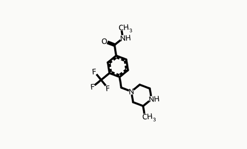 CNC(=O)c1ccc(CN2CCNC(C)C2)c(C(F)(F)F)c1